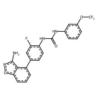 Nc1noc2cccc(-c3ccc(NC(=O)Nc4cccc(OC(F)(F)F)c4)c(F)c3)c12